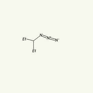 [CH2]CC(CC)N=[N+]=[N-]